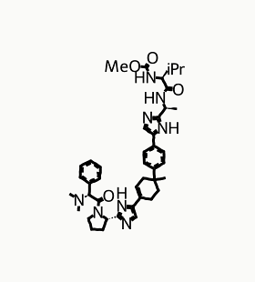 COC(=O)N[C@H](C(=O)N[C@@H](C)c1ncc(-c2ccc(C3(C)CC=C(c4cnc([C@@H]5CCCN5C(=O)[C@@H](c5ccccc5)N(C)C)[nH]4)CC3)cc2)[nH]1)C(C)C